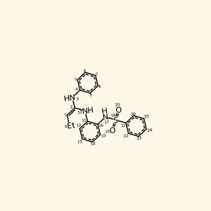 CCC=C(Nc1ccccc1)Nc1ccccc1NS(=O)(=O)c1ccccc1